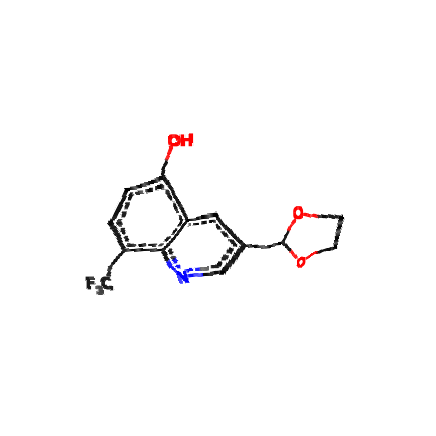 Oc1ccc(C(F)(F)F)c2ncc(C3OCCO3)cc12